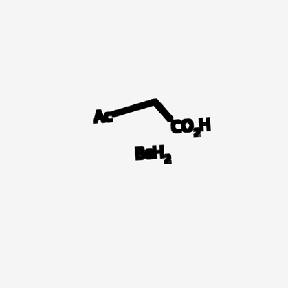 CC(=O)CC(=O)O.[BeH2]